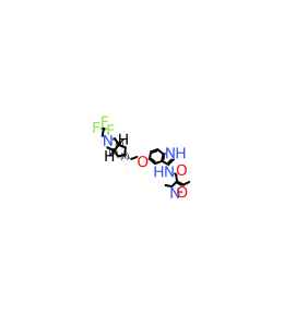 Cc1noc(C)c1C(=O)Nc1c[nH]c2ccc(OCC[C@@H]3C[C@@H]4CN(CC(F)(F)F)C[C@@H]4C3)cc12